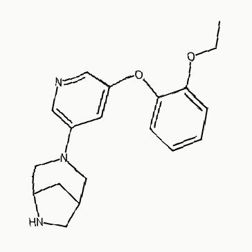 CCOc1ccccc1Oc1cncc(N2CC3CNC(C3)C2)c1